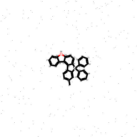 Cc1ccc2c(c1)[Si](c1ccccc1)(c1ccccc1)c1ccc3oc4ccccc4c3c1-2